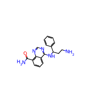 NCCC(Nc1ncnc2c(C(N)=O)cccc12)c1ccccc1